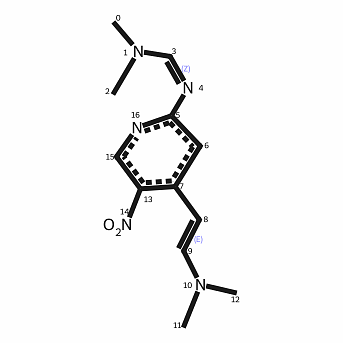 CN(C)/C=N\c1cc(/C=C/N(C)C)c([N+](=O)[O-])cn1